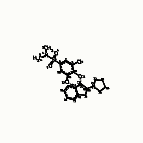 CN(C)S(=O)(=O)c1cc(Cl)c(O[C@H]2c3ccccc3C[C@@H]2N2CCCC2)c(Cl)c1